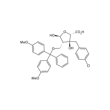 COc1ccc(C(OC[C@@H]2[C@@H](O)O[C@H](C(=O)O)[C@]2(O)Cc2ccc(Cl)cc2)(c2ccccc2)c2ccc(OC)cc2)cc1